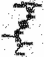 CCCCCC/C=C\CCCC(=O)O[C@H](CCCCCCC)CCOC[C@H](COP(=O)(O)OCCNC(=O)[C@@H](O)[C@@H](O)C(=O)NCCOP(=O)(O)OC[C@H](COCC[C@@H](CCCCCCC)OC(=O)CCC/C=C\CCCCCC)NC(=O)CCCCCCCCCCCCC)NC(=O)CCCCCCCCCCCCC